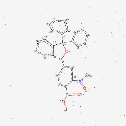 COC(=O)c1ccc(COC(c2ccccc2)(c2ccccc2)c2ccccc2)cc1[N+](=O)[O-]